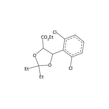 CCOC(=O)C1OC(CC)(CC)OC1c1c(Cl)cccc1Cl